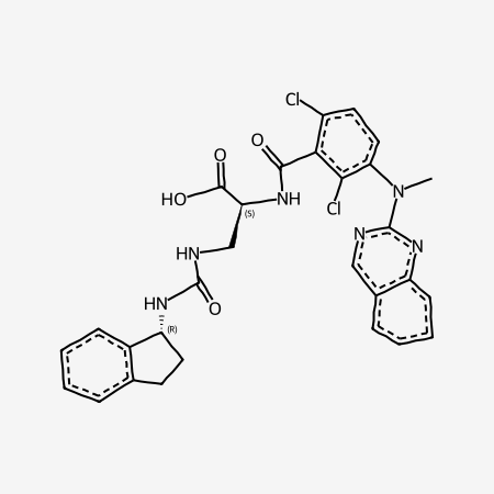 CN(c1ncc2ccccc2n1)c1ccc(Cl)c(C(=O)N[C@@H](CNC(=O)N[C@@H]2CCc3ccccc32)C(=O)O)c1Cl